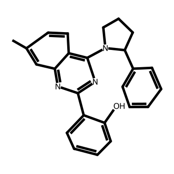 Cc1ccc2c(N3CCCC3c3ccccc3)nc(-c3ccccc3O)nc2c1